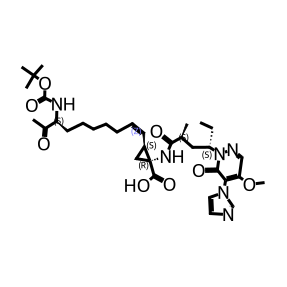 CC[C@@H](C[C@H](C)C(=O)N[C@]1(C(=O)O)C[C@H]1/C=C\CCCCC[C@H](NC(=O)OC(C)(C)C)C(C)=O)n1ncc(OC)c(-n2ccnc2)c1=O